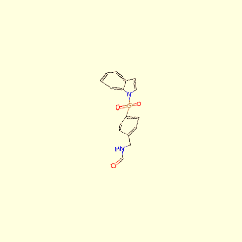 O=CNCc1ccc(S(=O)(=O)n2ccc3ccccc32)cc1